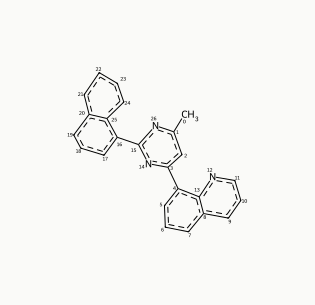 Cc1cc(-c2cccc3cccnc23)nc(-c2cccc3ccccc23)n1